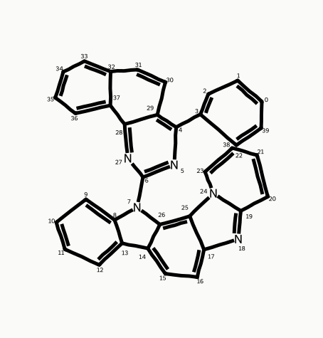 c1ccc(-c2nc(-n3c4ccccc4c4ccc5nc6ccccn6c5c43)nc3c2ccc2ccccc23)cc1